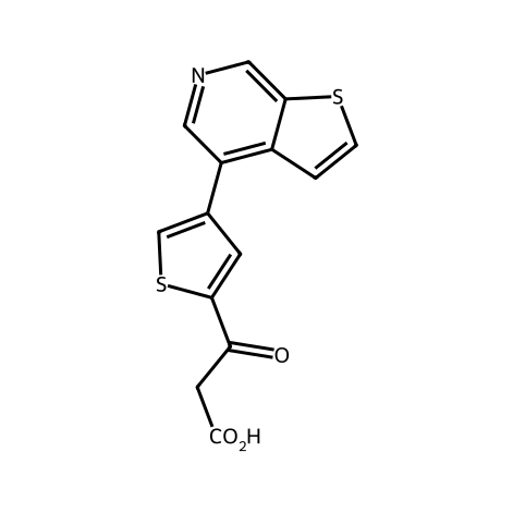 O=C(O)CC(=O)c1cc(-c2cncc3sccc23)cs1